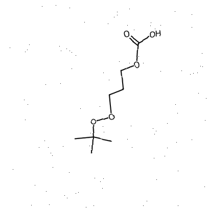 CC(C)(C)OOCCCOC(=O)O